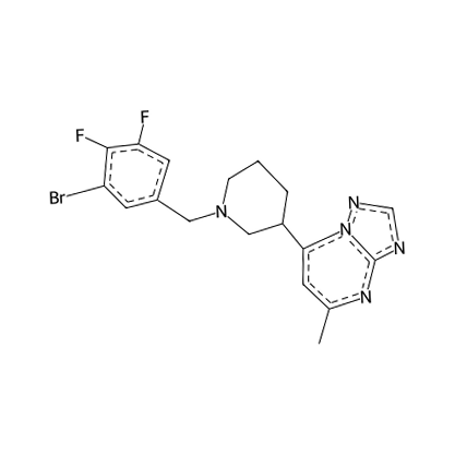 Cc1cc(C2CCCN(Cc3cc(F)c(F)c(Br)c3)C2)n2ncnc2n1